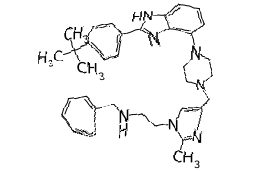 Cc1nc(CN2CCN(c3cccc4[nH]c(-c5ccc(C(C)(C)C)cc5)nc34)CC2)cn1CCNCc1ccccc1